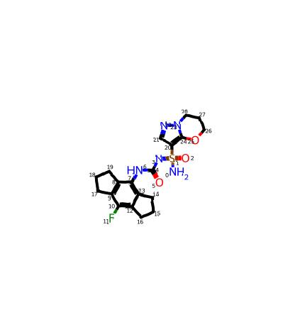 NS(=O)(=NC(=O)Nc1c2c(c(F)c3c1CCC3)CCC2)c1cnn2c1OCCC2